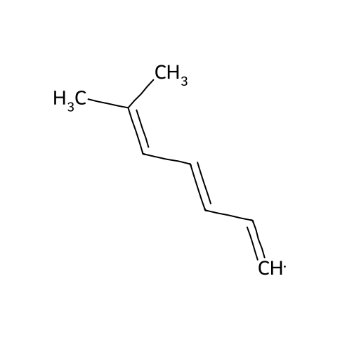 [CH]=C/C=C/C=C(C)C